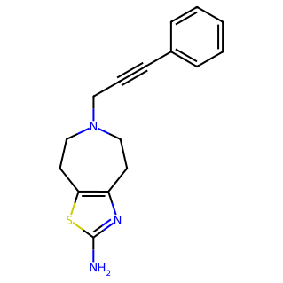 Nc1nc2c(s1)CCN(CC#Cc1ccccc1)CC2